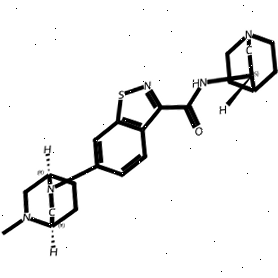 CN1C[C@H]2CC[C@@H]1CN2c1ccc2c(C(=O)N[C@@H]3CN4CCC3CC4)nsc2c1